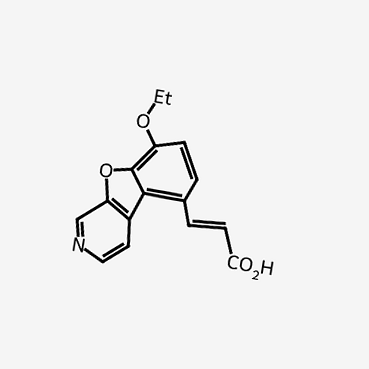 CCOc1ccc(C=CC(=O)O)c2c1oc1cnccc12